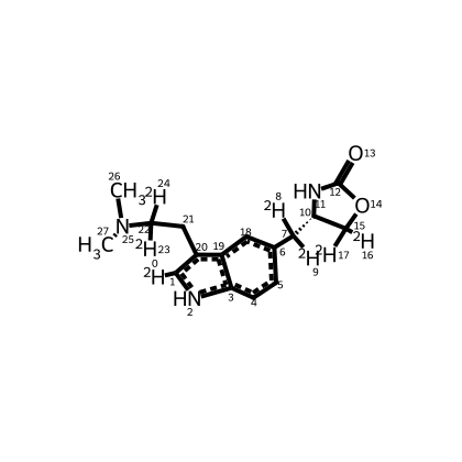 [2H]c1[nH]c2ccc(C([2H])([2H])[C@@H]3NC(=O)OC3([2H])[2H])cc2c1CC([2H])([2H])N(C)C